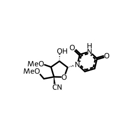 COC[C@@]1(C#N)O[C@@H](n2ccc(=O)[nH]c2=O)[C@@H](O)C1OC